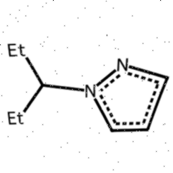 CCC(CC)n1cccn1